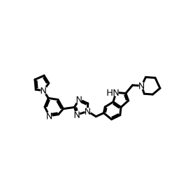 c1ccn(-c2cncc(-c3ncn(Cc4ccc5cc(CN6CCCCC6)[nH]c5c4)n3)c2)c1